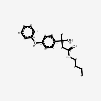 CCCCOC(=O)CC(C)(O)c1ccc(Oc2ccccc2)cc1